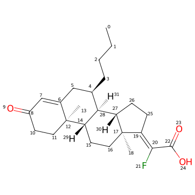 CCCC[C@@H]1CC2=CC(=O)CC[C@]2(C)[C@H]2CC[C@]3(C)C(=C(F)C(=O)O)CC[C@H]3[C@H]12